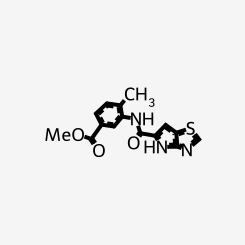 COC(=O)c1ccc(C)c(NC(=O)c2cc3scnc3[nH]2)c1